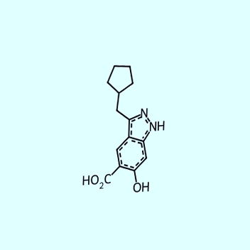 O=C(O)c1cc2c(CC3CCCC3)n[nH]c2cc1O